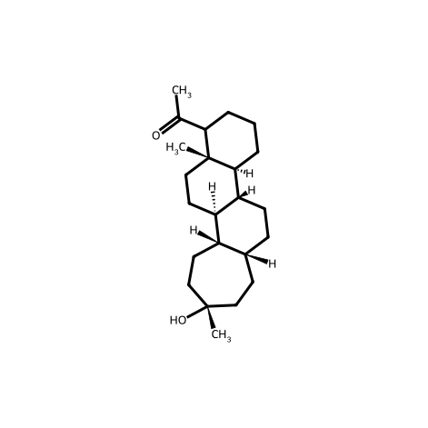 CC(=O)C1CCC[C@H]2[C@@H]3CC[C@@H]4CC[C@](C)(O)CC[C@@H]4[C@H]3CC[C@]12C